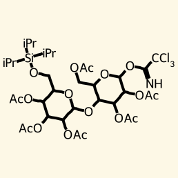 CC(=O)OCC1OC(OC(=N)C(Cl)(Cl)Cl)C(OC(C)=O)C(OC(C)=O)C1OC1OC(CO[Si](C(C)C)(C(C)C)C(C)C)C(OC(C)=O)C(OC(C)=O)C1OC(C)=O